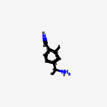 Cc1cc(C(C)N)ccc1C#N